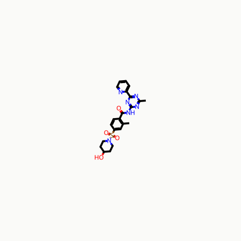 Cc1nc(NC(=O)c2ccc(S(=O)(=O)N3CCC(O)CC3)cc2C)nc(-c2ccccn2)n1